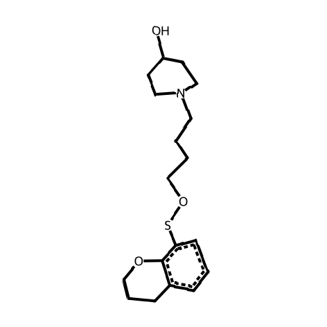 OC1CCN(CCCCOSc2cccc3c2OCCC3)CC1